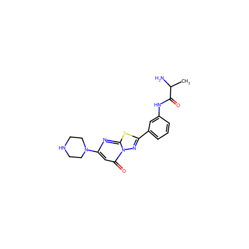 CC(N)C(=O)Nc1cccc(-c2nn3c(=O)cc(N4CCNCC4)nc3s2)c1